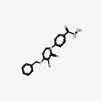 O=C(NO)c1ccc(-n2ccc(OCc3ccccc3)c(Br)c2=O)cc1